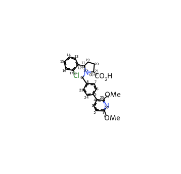 COc1ccc(-c2ccc(CN3[C@@H](c4ccccc4Cl)CC[C@H]3C(=O)O)cc2)c(OC)n1